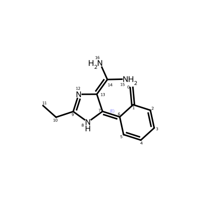 C=c1cccc/c1=c1\[nH]c(CC)nc1=C(N)N